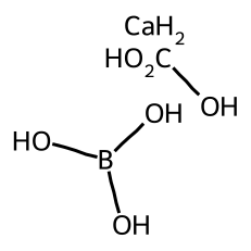 O=C(O)O.OB(O)O.[CaH2]